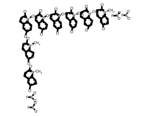 C[n+]1c(Cl)ccc2cc(Cl)ccc21.C[n+]1c(Cl)ccc2cc(Cl)ccc21.C[n+]1c(Cl)ccc2cc(Cl)ccc21.C[n+]1c(Cl)ccc2cc(Cl)ccc21.C[n+]1c(Cl)ccc2cc(Cl)ccc21.C[n+]1c(Cl)ccc2cc(Cl)ccc21.C[n+]1c(Cl)ccc2cc(Cl)ccc21.C[n+]1c(Cl)ccc2cc(Cl)ccc21.[O-]B([O-])F.[O-]B([O-])F.[O-]B([O-])F.[O-]B([O-])F